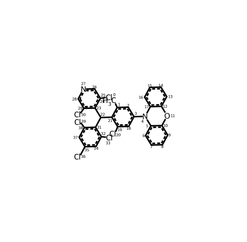 Cc1cc(N2c3ccccc3Oc3ccccc32)cc(Cl)c1C(c1c(Cl)cncc1Cl)c1c(Cl)cc(Cl)cc1Cl